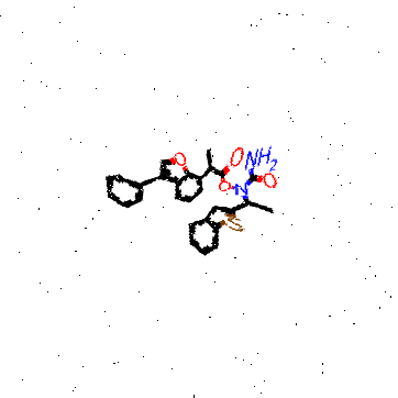 CC(C(=O)ON(C(N)=O)C(C)c1cc2ccccc2s1)c1cccc2c(-c3ccccc3)coc12